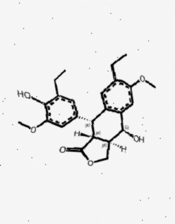 CCc1cc2c(cc1OC)[C@@H](O)[C@H]1COC(=O)[C@@H]1[C@@H]2c1cc(CC)c(O)c(OC)c1